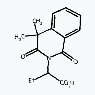 CCC(C(=O)O)N1C(=O)c2ccccc2C(C)(C)C1=O